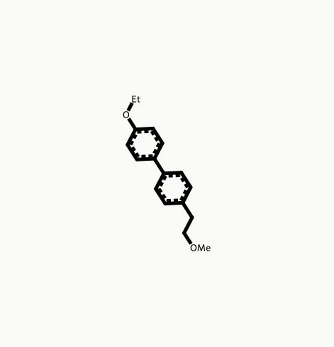 CCOc1ccc(-c2ccc(CCOC)cc2)cc1